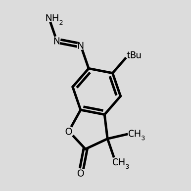 CC(C)(C)c1cc2c(cc1N=NN)OC(=O)C2(C)C